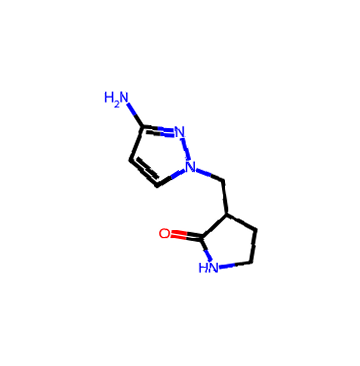 Nc1ccn(CC2CCNC2=O)n1